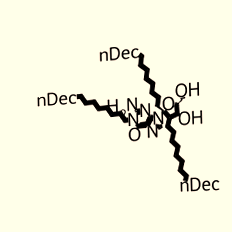 CCCCCCCCCCCCCCCCCCC1[C@H](O)[C@@H](CO)O[C@@]1(CCCCCCCCCCCCCCCCCC)n1cnc2c(=O)n(CCCCCCCCCCCCCCCCCC)c(N)nc21